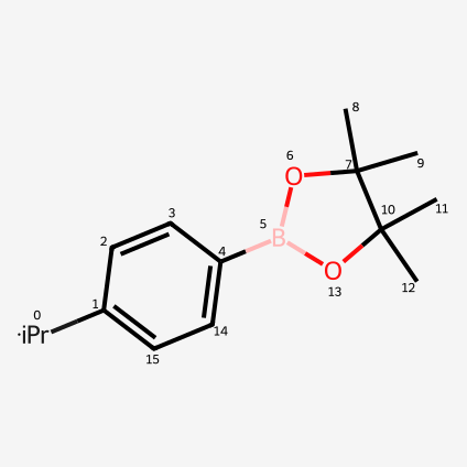 C[C](C)c1ccc(B2OC(C)(C)C(C)(C)O2)cc1